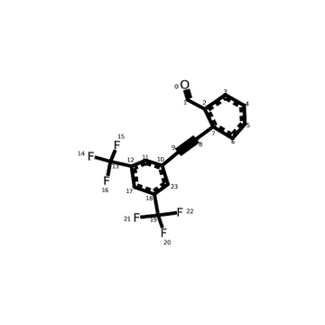 O=Cc1ccccc1C#Cc1cc(C(F)(F)F)cc(C(F)(F)F)c1